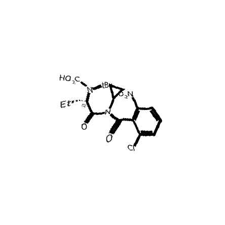 CC[C@@H](C(=O)N(C(=O)c1c(Cl)cccc1[N+](=O)[O-])C1CC1)N(C(=O)O)C(C)(C)C